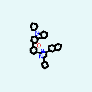 c1ccc(-c2cc(-c3ccc4ccccc4c3)nc(-c3cccc4c3oc3c4ccc4c3c3ccccc3n4-c3ccccc3)n2)cc1